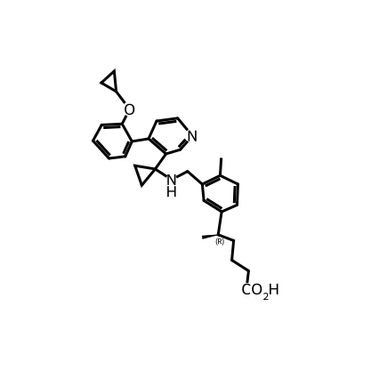 Cc1ccc([C@H](C)CCCC(=O)O)cc1CNC1(c2cnccc2-c2ccccc2OC2CC2)CC1